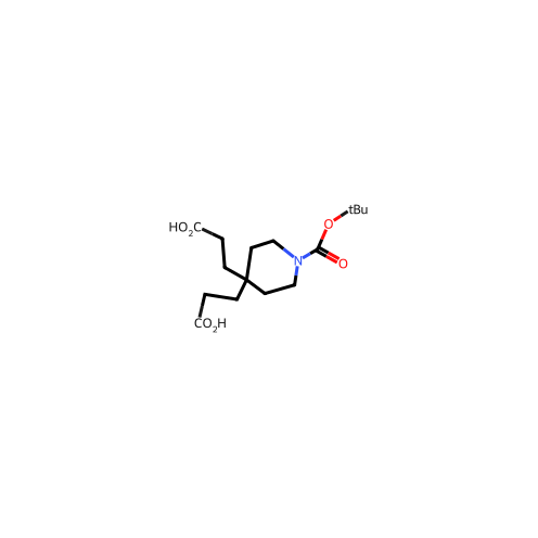 CC(C)(C)OC(=O)N1CCC(CCC(=O)O)(CCC(=O)O)CC1